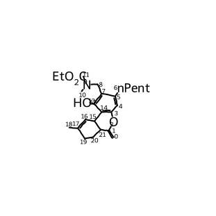 C=C1Oc2cc(CCCCC)c(CN(C)C(=O)OCC)c(O)c2C2C=C(C)CCC12